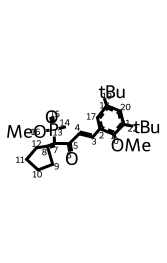 COc1c(C=CC(=O)C(=C2CCCC2)P(C)(=O)OC)cc(C(C)(C)C)cc1C(C)(C)C